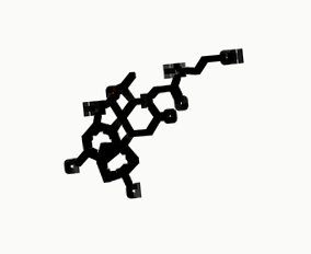 C=C(C)[C@H]1N(CC(=O)NCCO)C(=O)C[C@@H](c2cccc(Cl)c2)[C@]12C(=O)Nc1cc(Cl)ccc12